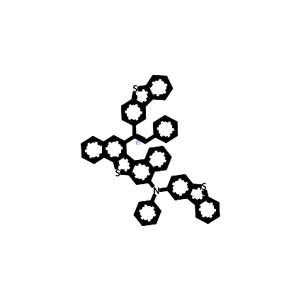 C(=C(/c1ccc2sc3ccccc3c2c1)c1cc2ccccc2c2sc3cc(N(c4ccccc4)c4ccc5sc6ccccc6c5c4)c4ccccc4c3c12)/c1ccccc1